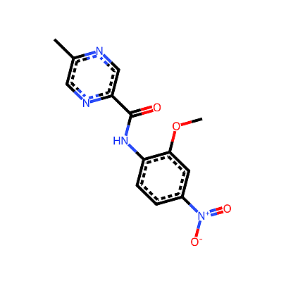 COc1cc([N+](=O)[O-])ccc1NC(=O)c1cnc(C)cn1